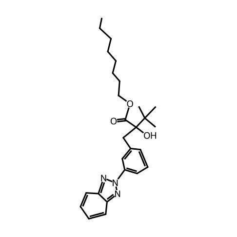 CCCCCCCCOC(=O)C(O)(Cc1cccc(-n2nc3ccccc3n2)c1)C(C)(C)C